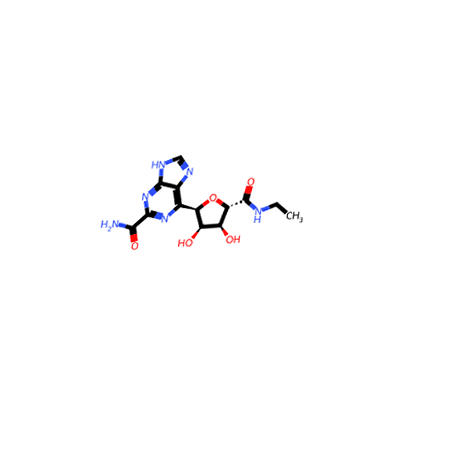 CCNC(=O)[C@H]1O[C@H](c2nc(C(N)=O)nc3[nH]cnc23)[C@H](O)[C@@H]1O